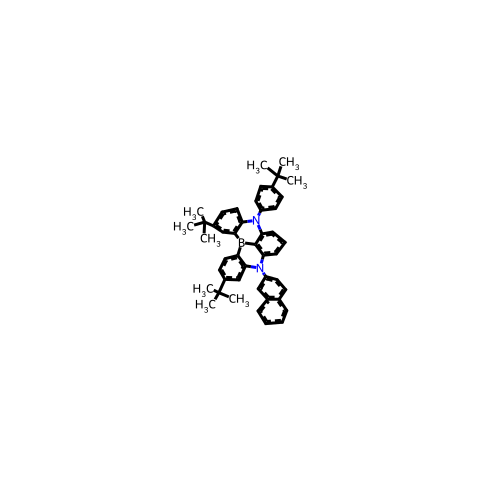 CC(C)(C)c1ccc(N2c3ccc(C(C)(C)C)cc3B3c4ccc(C(C)(C)C)cc4N(c4ccc5ccccc5c4)c4cccc2c43)cc1